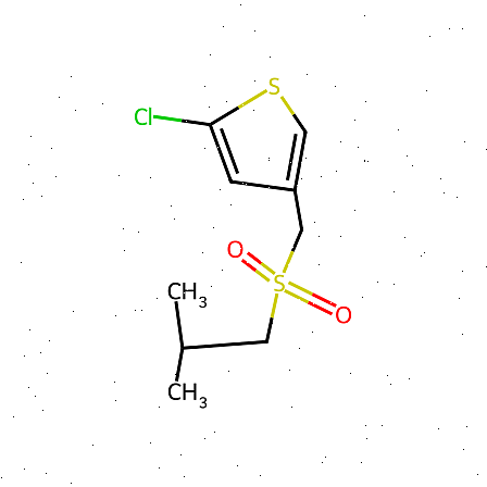 CC(C)CS(=O)(=O)Cc1csc(Cl)c1